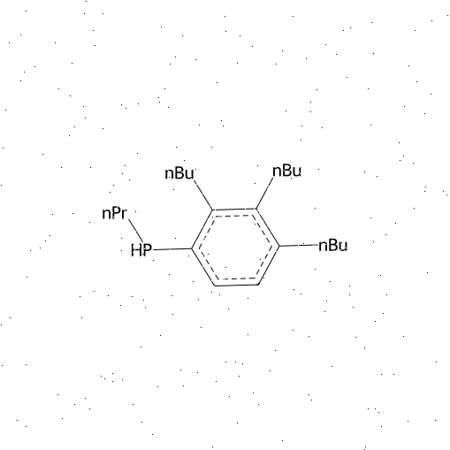 CCCCc1ccc(PCCC)c(CCCC)c1CCCC